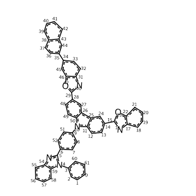 c1ccc(-n2c(-c3ccc(-n4c5ccc(-c6nc7ccccc7o6)cc5c5cc(-c6nc7ccc(-c8ccc9ccccc9c8)cc7o6)ccc54)cc3)nc3ccccc32)cc1